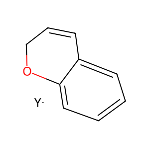 C1=Cc2ccccc2OC1.[Y]